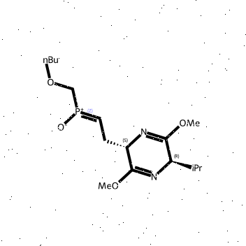 CCCCOC/[P+]([O-])=C/C[C@@H]1N=C(OC)[C@@H](C(C)C)N=C1OC